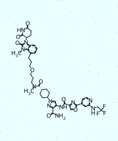 CN(CCCOCCCc1cccc2c1n(C)c(=O)n2C1CCC(=O)NC1=O)C(=O)[C@H]1CC[C@H](n2cc(NC(=O)c3coc(-c4ccnc(NCC(F)(F)F)c4)n3)c(C(N)=O)n2)CC1